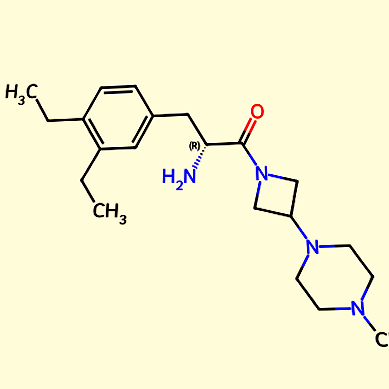 CCc1ccc(C[C@@H](N)C(=O)N2CC(N3CCN(C)CC3)C2)cc1CC